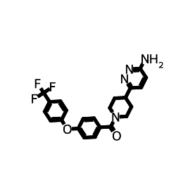 Nc1ccc(C2CCN(C(=O)c3ccc(Oc4ccc(C(F)(F)F)cc4)cc3)CC2)nn1